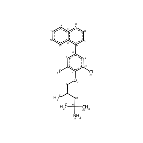 CC(COc1c(F)cc(-c2ccnc3ccccc23)cc1Cl)CC(C)(C)N